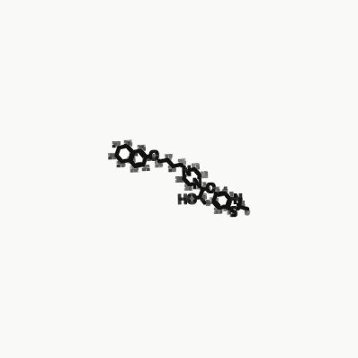 Cc1nc2cc(OC([C@@H](C)O)N3CCN(CCCCOc4ccc5c(c4)CCCC5)CC3)ccc2s1